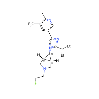 CCC(CC)c1nc(-c2cnc(C)c(C(F)(F)F)c2)cn1[C@H]1[C@@H]2CN(CCF)C[C@@H]21